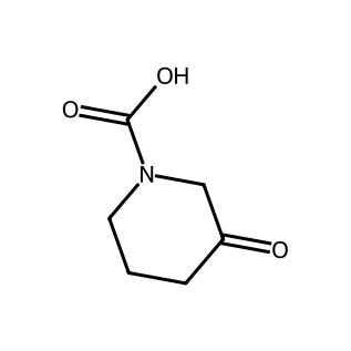 O=C1CCCN(C(=O)O)C1